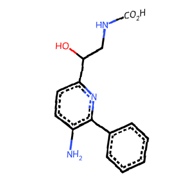 Nc1ccc(C(O)CNC(=O)O)nc1-c1ccccc1